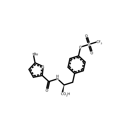 CC(C)(C)c1ccc(C(=O)N[C@@H](Cc2ccc(OS(=O)(=O)C(F)(F)F)cc2)C(=O)O)s1